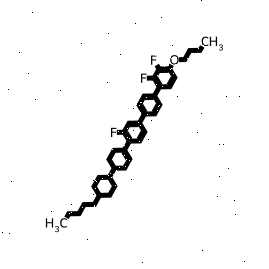 CCCCCC1CCC(C2CC=C(c3ccc(-c4ccc(-c5ccc(OCCCC)c(F)c5F)cc4)cc3F)CC2)CC1